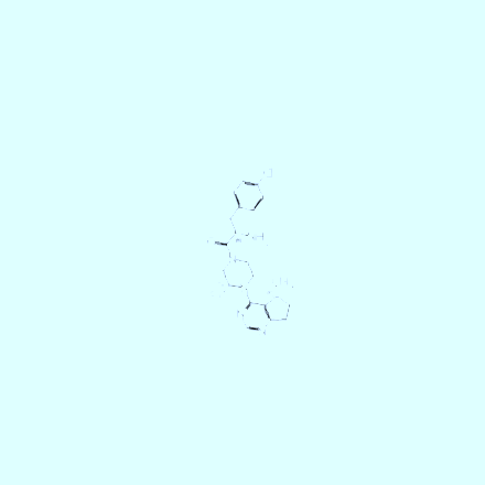 CC[C@H]1CN(C(=O)[C@H](N)Cc2ccc(Cl)cc2)CCN1c1ncnc2c1[C@H](C)CC2